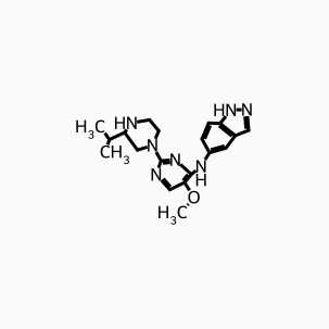 COc1cnc(N2CCNC(C(C)C)C2)nc1Nc1ccc2[nH]ncc2c1